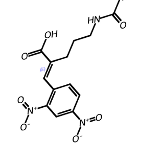 C=CC(=O)NCCC/C(=C\c1ccc([N+](=O)[O-])cc1[N+](=O)[O-])C(=O)O